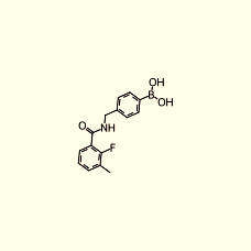 Cc1cccc(C(=O)NCc2ccc(B(O)O)cc2)c1F